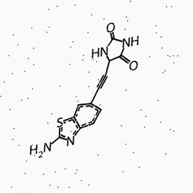 Nc1nc2ccc(C#CC3NC(=O)NC3=O)cc2s1